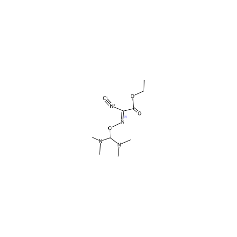 [C-]#[N+]/C(=N\OC(N(C)C)N(C)C)C(=O)OCC